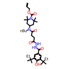 C=CCOC(=O)N1C(C)(C)CC(N(CCCC)C(=O)CCC(=O)NNC(=O)c2cc(C(C)(C)CC)c(O)c(C(C)(C)CC)c2)CC1(C)C